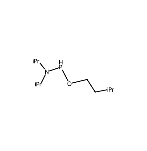 CC(C)CCOPN(C(C)C)C(C)C